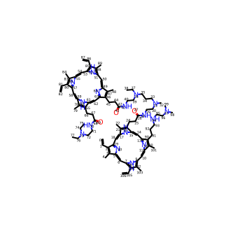 C=CC1=C(C)c2cc3[nH]c(cc4nc(cc5[nH]c(cc1n2)c(C)c5CCC(=O)NCCN(C)CCCN(CC)CCNC(=O)CCC1=C(C)c2cc5[nH]c(cc6nc(cc7[nH]c(cc1n2)c(CCC(=O)NCCN(CC)CC)c7C)C(C=C)=C6C)c(C=C)c5C)C(CCCNCCN(C)C)=C4C)c(C)c3C=C